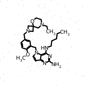 CCCCCNc1nc(N)nc2ccn(Cc3cc(CN4CC5(CN(CC)CCO5)C4)ccc3OC)c12